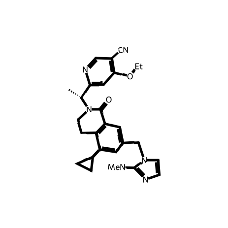 CCOc1cc([C@@H](C)N2CCc3c(cc(Cn4ccnc4NC)cc3C3CC3)C2=O)ncc1C#N